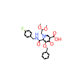 COC(Cn1cc(C(=O)O)c(=O)c(OCc2ccccc2)c1C(=O)NCc1ccc(F)cc1)OC